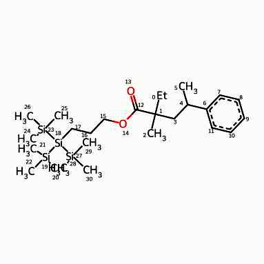 CCC(C)(CC(C)c1ccccc1)C(=O)OCCC[Si]([Si](C)(C)C)([Si](C)(C)C)[Si](C)(C)C